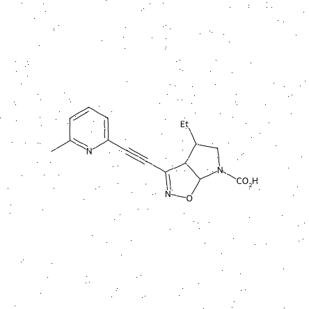 CCC1CN(C(=O)O)C2ON=C(C#Cc3cccc(C)n3)C12